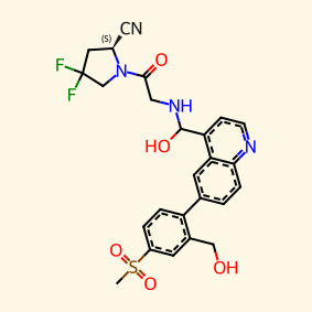 CS(=O)(=O)c1ccc(-c2ccc3nccc(C(O)NCC(=O)N4CC(F)(F)C[C@H]4C#N)c3c2)c(CO)c1